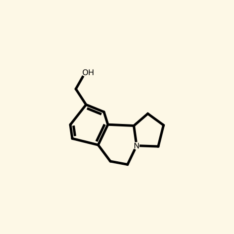 OCc1ccc2c(c1)C1CCCN1CC2